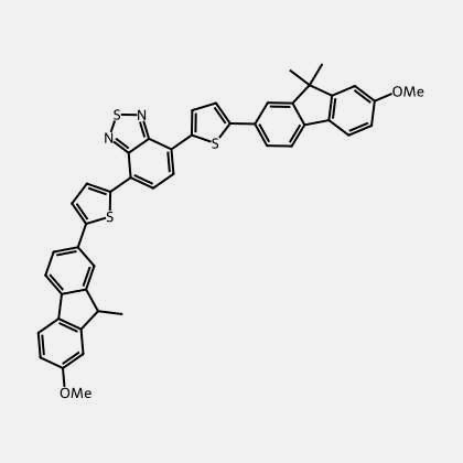 COc1ccc2c(c1)C(C)c1cc(-c3ccc(-c4ccc(-c5ccc(-c6ccc7c(c6)C(C)(C)c6cc(OC)ccc6-7)s5)c5nsnc45)s3)ccc1-2